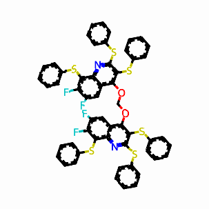 Fc1cc2c(OCOc3c(Sc4ccccc4)c(Sc4ccccc4)nc4c(Sc5ccccc5)c(F)c(F)cc34)c(Sc3ccccc3)c(Sc3ccccc3)nc2c(Sc2ccccc2)c1F